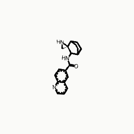 O=C(NC1C2CCC(CC2)[C@@]12CN2)c1ccc2ncccc2c1